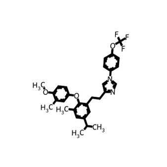 COc1ccc(Oc2c(C)cc(C(C)C)cc2CCc2cn(-c3ccc(OC(F)(F)F)cc3)cn2)cc1C